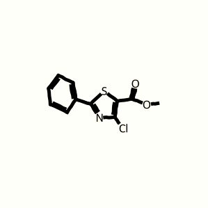 COC(=O)c1sc(-c2ccccc2)nc1Cl